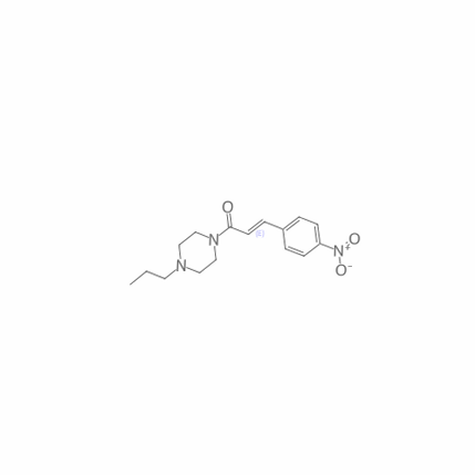 CCCN1CCN(C(=O)/C=C/c2ccc([N+](=O)[O-])cc2)CC1